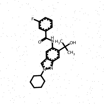 CC(C)(O)c1cc2nn(C3CCCCC3)cc2cc1NC(=O)c1cccc(F)c1